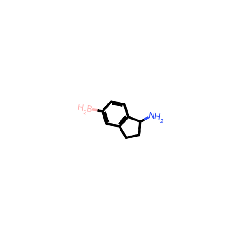 Bc1ccc2c(c1)CCC2N